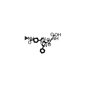 O=C(O)NCCS(=O)(=O)c1nc(-c2ccccc2)cn2c(-c3ccc(C(=O)NC4CC4)cc3)cnc12